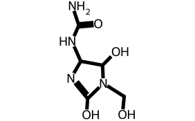 NC(=O)NC1N=C(O)N(CO)C1O